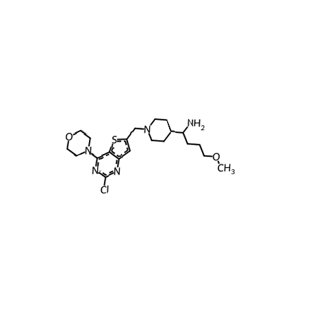 COCCCC(N)C1CCN(Cc2cc3nc(Cl)nc(N4CCOCC4)c3s2)CC1